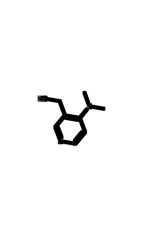 CN(C)c1ccncc1CO